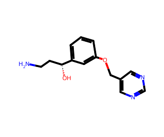 NCC[C@@H](O)c1cccc(OCc2cncnc2)c1